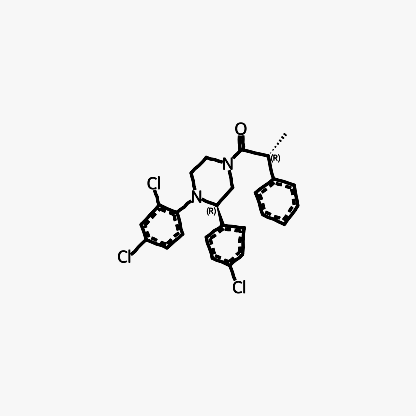 C[C@@H](C(=O)N1CCN(c2ccc(Cl)cc2Cl)[C@H](c2ccc(Cl)cc2)C1)c1ccccc1